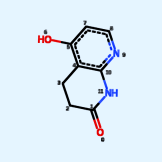 O=C1CCc2c(O)ccnc2N1